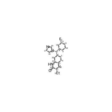 CCc1nc2ccc(C(c3cccc(F)c3)n3ccnc3)cc2[nH]c1=O